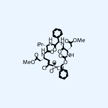 COC(=O)C[C@@H](/C=C(\Cl)S(C)(=O)=O)NC(=O)[C@@H](NC(=O)[C@@H](NC(=O)[C@H](CC(=O)OC)NC(=O)OCc1ccccc1)c1ccccc1)C(C)C